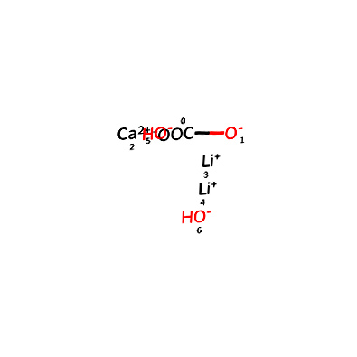 O=C([O-])[O-].[Ca+2].[Li+].[Li+].[OH-].[OH-]